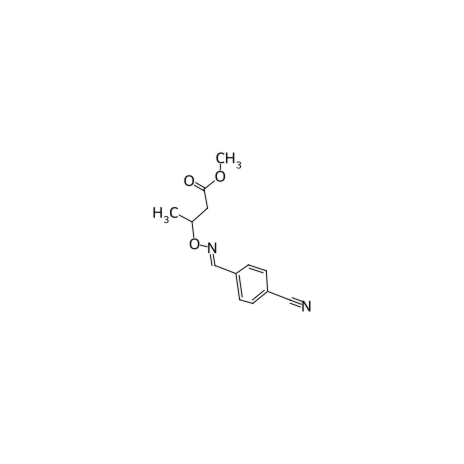 COC(=O)CC(C)ON=Cc1ccc(C#N)cc1